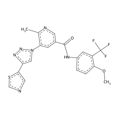 COc1ccc(NC(=O)c2cnc(C)c(-n3cc(-c4cncs4)nn3)c2)cc1C(F)(F)F